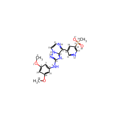 COc1cc(Nc2nc3c(-c4cncc(S(C)(=O)=O)c4)nccn3n2)cc(OC)c1